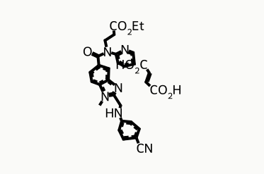 CCOC(=O)CCN(C(=O)c1ccc2c(c1)nc(CNc1ccc(C#N)cc1)n2C)c1ccccn1.O=C(O)C=CC(=O)O